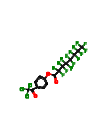 O=C(c1ccc(OC(=O)C(F)(F)C(F)(F)C(F)(F)C(F)(F)C(F)(F)C(F)(F)C(F)(F)F)cc1)C(Cl)(Cl)Cl